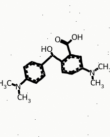 CN(C)c1ccc(C(O)c2ccc(N(C)C)cc2C(=O)O)cc1